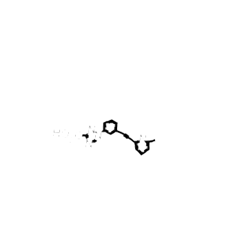 Cc1cccc(C#Cc2cccc(-n3cnc(C(=O)O)n3)c2)n1